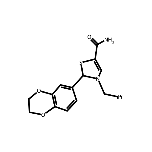 CC(C)CN1C=C(C(N)=O)SC1c1ccc2c(c1)OCCO2